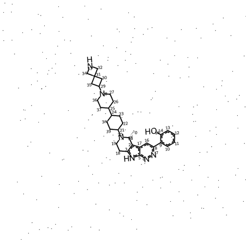 C[C@@H]1c2c([nH]c3nnc(-c4ccccc4O)cc23)CCN1C1CCC(C2CCN(C3CC4(CNC4)C3)CC2)CC1